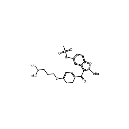 CCCCc1oc2ccc(NS(C)(=O)=O)cc2c1C(=O)C1=CC=C(OCCCN(CCCC)CCCC)CC1